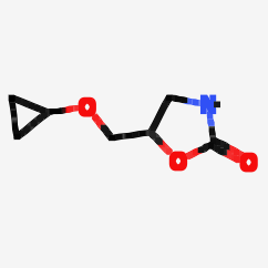 O=C1[N]CC(COC2CC2)O1